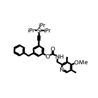 COc1c(C)cnc(CNC(=O)Oc2cc(C#C[Si](C(C)C)(C(C)C)C(C)C)cc(Cc3ccccc3)c2)c1C